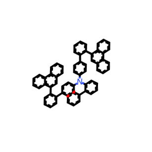 c1ccc(-c2ccccc2N(c2ccc(-c3ccccc3-c3cc4ccccc4c4ccccc34)cc2)c2ccc(-c3ccccc3-c3cc4ccccc4c4ccccc34)cc2)cc1